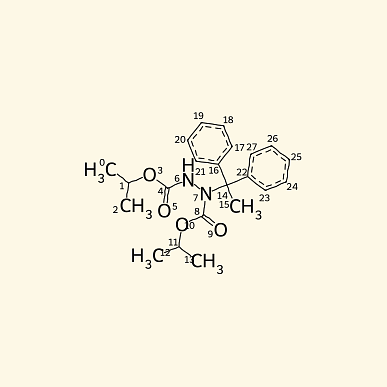 CC(C)OC(=O)NN(C(=O)OC(C)C)C(C)(c1ccccc1)c1ccccc1